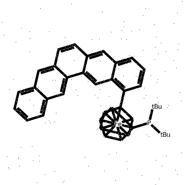 CC(C)(C)P(C(C)(C)C)[C]12[CH]3[CH]4[CH]5[CH]1[Fe]45321678[CH]2[CH]1[CH]6[C]7(c1cccc3cc4ccc5cc6ccccc6cc5c4cc13)[CH]28